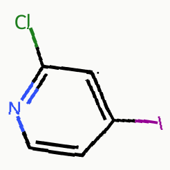 Clc1[c]c(I)ccn1